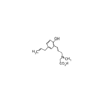 C=CCc1ccc(O)c(C=CCN(C)CC(=O)O)c1